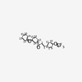 O=C(C=Cc1ccc(OC(F)(F)F)cc1)c1cccc(Oc2ccccc2)c1